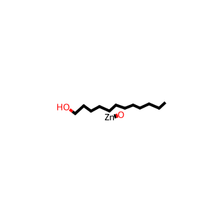 CCCCCCCCCCCCO.[O]=[Zn]